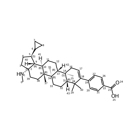 CN[C@]12CC[C@@H](C3CC3)[C@@H]1[C@H]1CC[C@@H]3[C@@]4(C)CC=C(c5ccc(C(=O)O)cc5)C(C)(C)[C@@H]4CC[C@@]3(C)[C@]1(C)CC2